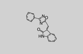 O=C1Nc2ccccc2/C1=C/c1nc(-c2ccccc2)no1